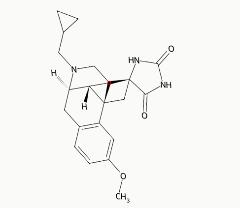 COc1ccc2c(c1)[C@]13CCN(CC4CC4)[C@H](C2)[C@@H]1CC[C@@]1(C3)NC(=O)NC1=O